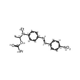 CCN(c1ccc(/N=N/c2ccc([N+](=O)[O-])cc2)cc1)C(C)OC(=O)C(C)C